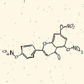 O=c1cc(-c2ccc(O[N+](=O)[O-])cc2)oc2cc(O[N+](=O)[O-])cc(O[N+](=O)[O-])c12